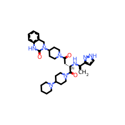 C=C(N[C@@H](CC(=O)N1CCC(N2Cc3ccccc3NC2=O)CC1)C(=O)N1CCC(N2CCCCC2)CC1)c1cc[nH]n1